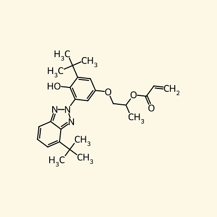 C=CC(=O)OC(C)COc1cc(-n2nc3cccc(C(C)(C)C)c3n2)c(O)c(C(C)(C)C)c1